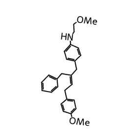 COCCNc1ccc(CC(=CCc2ccc(OC)cc2)Cc2ccccc2)cc1